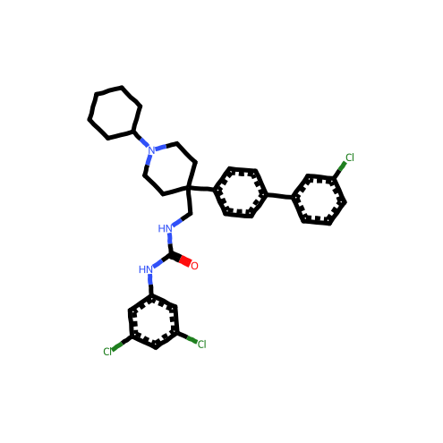 O=C(NCC1(c2ccc(-c3cccc(Cl)c3)cc2)CCN(C2CCCCC2)CC1)Nc1cc(Cl)cc(Cl)c1